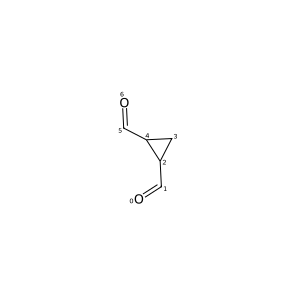 O=CC1CC1C=O